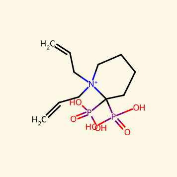 C=CC[N+]1(CC=C)CCCCC1(P(=O)(O)O)P(=O)(O)O